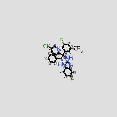 Fc1cc(C(F)(F)F)cc([C@](Cc2ccccc2)(Nc2nc3cc(F)ccc3[nH]2)c2ccc(Cl)cn2)c1